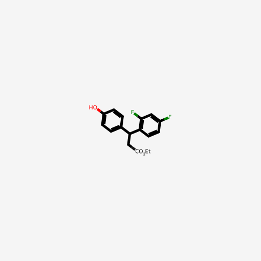 CCOC(=O)CC(c1ccc(O)cc1)c1ccc(F)cc1F